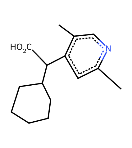 Cc1cc(C(C(=O)O)C2CCCCC2)c(C)cn1